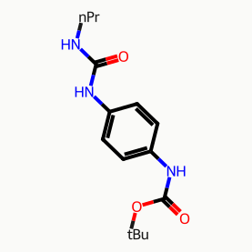 CCCNC(=O)Nc1ccc(NC(=O)OC(C)(C)C)cc1